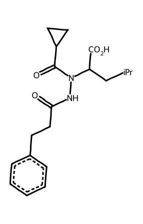 CC(C)CC(C(=O)O)N(NC(=O)CCc1ccccc1)C(=O)C1CC1